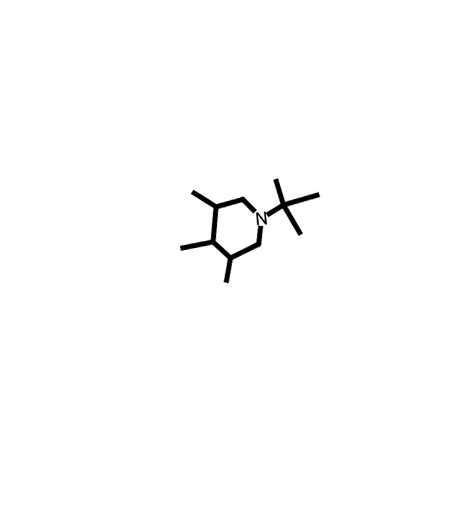 CC1CN(C(C)(C)C)CC(C)C1C